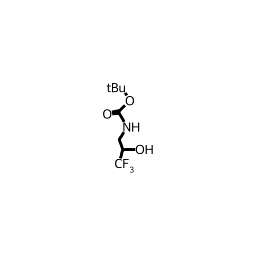 CC(C)(C)OC(=O)NCC(O)C(F)(F)F